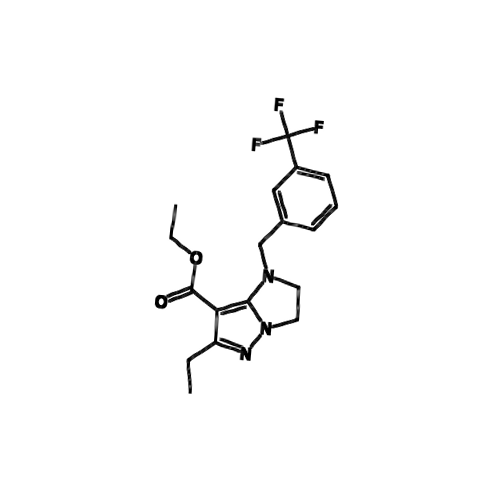 CCOC(=O)c1c(CC)nn2c1N(Cc1cccc(C(F)(F)F)c1)CC2